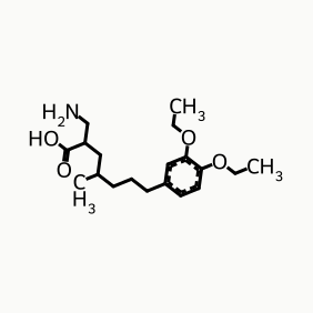 CCOc1ccc(CCCC(C)CC(CN)C(=O)O)cc1OCC